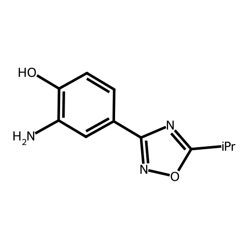 CC(C)c1nc(-c2ccc(O)c(N)c2)no1